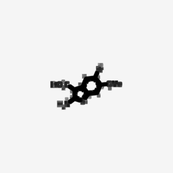 CCOC(=O)c1c(N)sc2cc(OC)c(Br)cc12